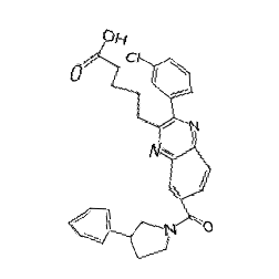 O=C(O)CCCCc1nc2cc(C(=O)N3CCC(c4ccccc4)C3)ccc2nc1-c1cccc(Cl)c1